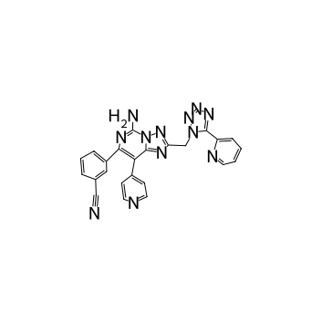 N#Cc1cccc(-c2nc(N)n3nc(Cn4nnnc4-c4ccccn4)nc3c2-c2ccncc2)c1